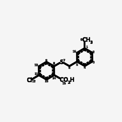 Cc1cccc(CSc2ccc(Cl)cc2C(=O)O)c1